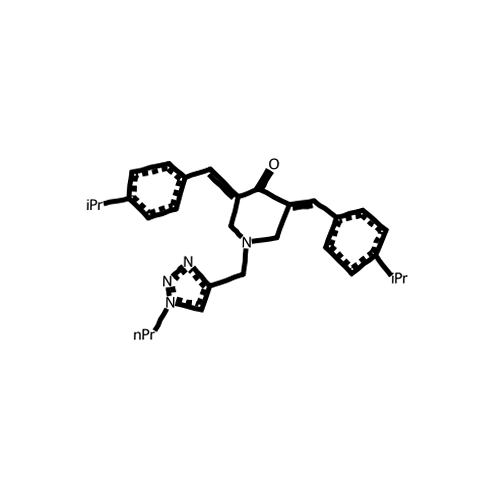 CCCn1cc(CN2CC(=Cc3ccc(C(C)C)cc3)C(=O)C(=Cc3ccc(C(C)C)cc3)C2)nn1